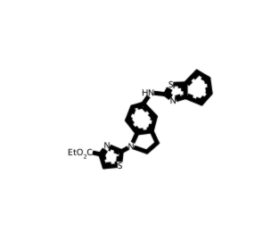 CCOC(=O)c1csc(N2CCc3cc(Nc4nc5ccccc5s4)ccc32)n1